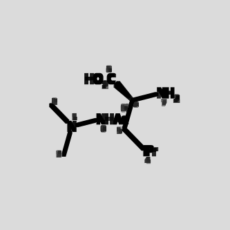 CC(=O)NN(C)C.CC(C)C[C@H](N)C(=O)O